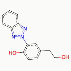 OCCc1ccc(O)c(-n2nc3ccccc3n2)c1